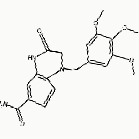 COc1cc(CN2CC(=O)Nc3cc(C(N)=O)ccc32)cc(OC)c1OC